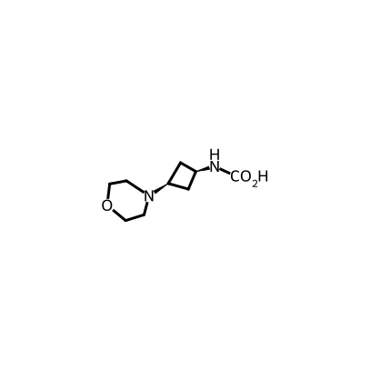 O=C(O)N[C@H]1C[C@@H](N2CCOCC2)C1